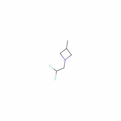 C[C]1CN(CC(F)F)C1